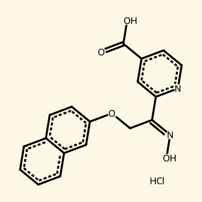 Cl.O=C(O)c1ccnc(/C(COc2ccc3ccccc3c2)=N/O)c1